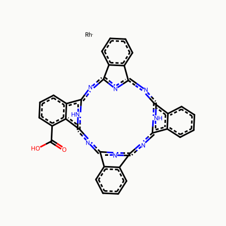 O=C(O)c1cccc2c3nc4nc(nc5[nH]c(nc6nc(nc([nH]3)c12)-c1ccccc1-6)c1ccccc51)-c1ccccc1-4.[Rh]